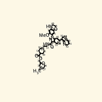 COc1cc2c(cc1-n1nc(C(=O)NCCN3CCC(C(=O)OCC4CN(C)CCO4)CC3)c3cnc(-c4cnn5cccnc45)cc31)OCCN2